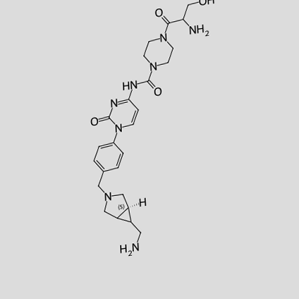 NCC1C2CN(Cc3ccc(-n4ccc(NC(=O)N5CCN(C(=O)C(N)CO)CC5)nc4=O)cc3)C[C@@H]12